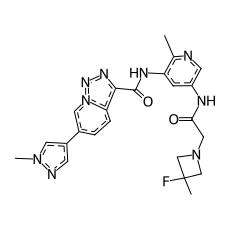 Cc1ncc(NC(=O)CN2CC(C)(F)C2)cc1NC(=O)c1nnn2cc(-c3cnn(C)c3)ccc12